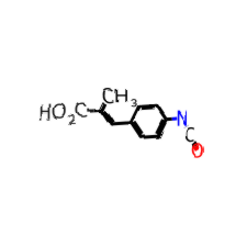 CC(=Cc1ccc(N=C=O)cc1)C(=O)O